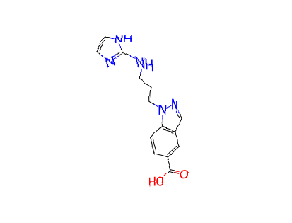 O=C(O)c1ccc2c(cnn2CCCNc2ncc[nH]2)c1